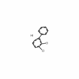 Clc1cccc(-c2ccccc2)c1Cl.I